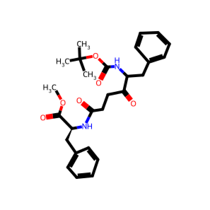 COC(=O)[C@H](Cc1ccccc1)NC(=O)CCC(=O)C(Cc1ccccc1)NC(=O)OC(C)(C)C